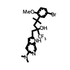 COc1ccc(Br)cc1C(C)(C)CC(O)(Cc1cc2cc(N(C)C)ncc2[nH]1)C(F)(F)F